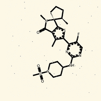 Cc1c(-c2nc(NC3CCN(S(C)(=O)=O)CC3)ncc2F)sc2c1C(=O)N(C)[C@]21CCC[C@H]1C